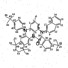 Cc1cc2c3c(c1)N(c1ccc4ccccc4c1)c1c(oc4ccc(C(C)(C)C)cc14)B3c1cc3c(cc1N2c1ccc(C(C)(C)C)cc1)C(C)(C)CCC3(C)C